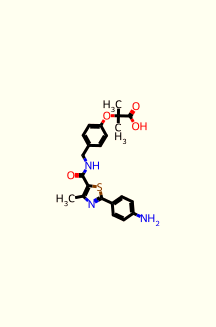 Cc1nc(-c2ccc(N)cc2)sc1C(=O)NCc1ccc(OC(C)(C)C(=O)O)cc1